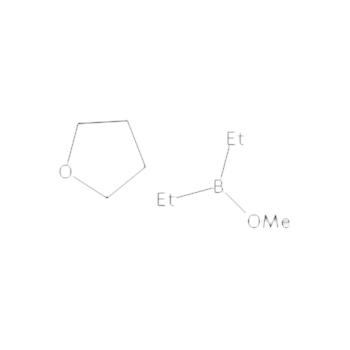 C1CCOC1.CCB(CC)OC